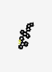 c1ccc2c(c1)ccc1cc(-c3c4ccccc4c(-c4ccc5sc6c7ccccc7c7ccccc7c6c5c4)c4ccccc34)ccc12